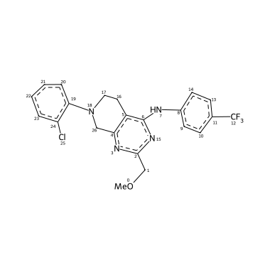 COCc1nc2c(c(Nc3ccc(C(F)(F)F)cc3)n1)CCN(c1ccccc1Cl)C2